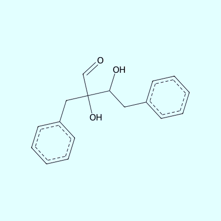 O=CC(O)(Cc1ccccc1)C(O)Cc1ccccc1